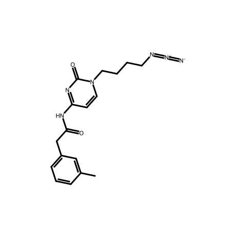 Cc1cccc(CC(=O)Nc2ccn(CCCCN=[N+]=[N-])c(=O)n2)c1